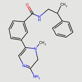 CC(CNC(=O)c1cccc(C2=CN=C(N)CN2C)c1)c1ccccc1